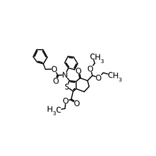 CCOC(=O)c1sc(N(C(=O)OCc2ccccc2)c2ccccc2)c2c1CCC(C(OCC)OCC)C2=O